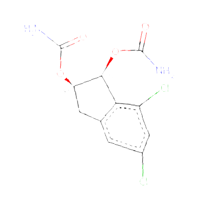 NC(=O)O[C@@H]1Cc2cc(Cl)cc(Cl)c2[C@@H]1OC(N)=O